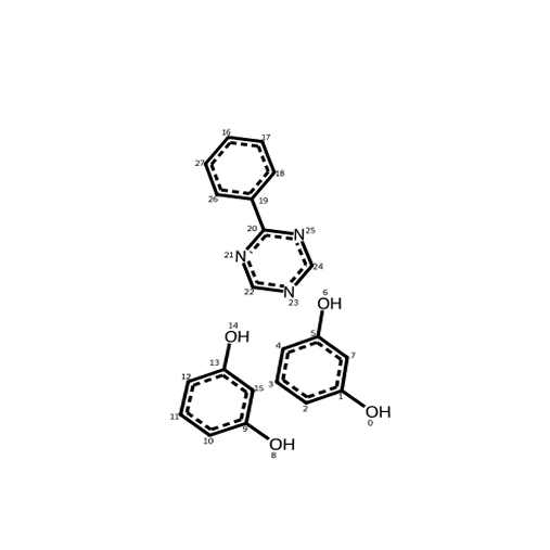 Oc1cccc(O)c1.Oc1cccc(O)c1.c1ccc(-c2ncncn2)cc1